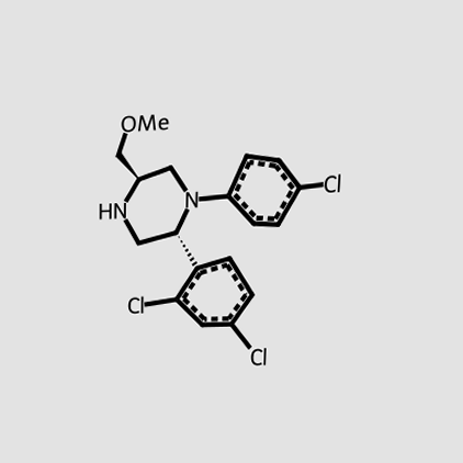 COC[C@H]1CN(c2ccc(Cl)cc2)[C@H](c2ccc(Cl)cc2Cl)CN1